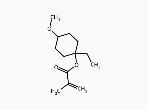 C=C(C)C(=O)OC1(CC)CCC(OC)CC1